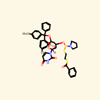 COc1ccc(C(OC2CC(OP(SCCSC(=O)c3ccccc3)N3CCCC3)C3OCC2O[C@H]3n2ccc(=O)[nH]c2=O)(c2ccccc2)c2ccc(OC)cc2)cc1